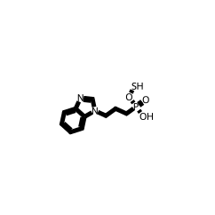 O=P(O)(CCCn1cnc2ccccc21)OS